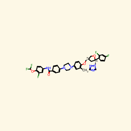 Cc1cc(N2CCN(c3ccc(C(=O)Nc4ccc(OC(F)F)c(F)c4)cc3)CC2)ccc1OC[C@@H]1CO[C@@](Cn2cncn2)(c2ccc(F)cc2F)C1